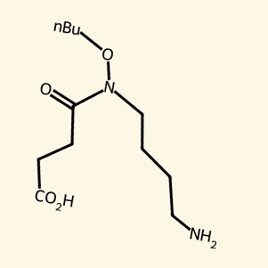 CCCCON(CCCCN)C(=O)CCC(=O)O